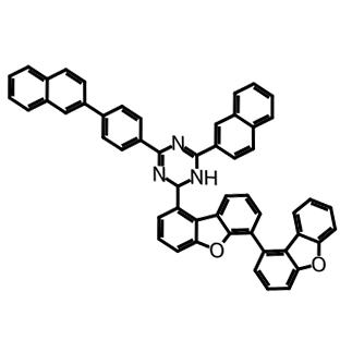 c1ccc2cc(C3=NC(c4ccc(-c5ccc6ccccc6c5)cc4)=NC(c4cccc5oc6c(-c7cccc8oc9ccccc9c78)cccc6c45)N3)ccc2c1